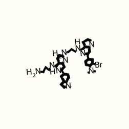 CN(C)c1ccc(-c2cc3ncccc3c(NCCCN)n2)cc1Br.Cn1ccc2cc(-c3cc4ncccc4c(NCCCN)n3)ccc21